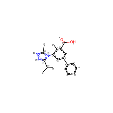 Cc1c(C(=O)O)cc(-c2ccccc2)cc1-n1c(C)nnc1C(C)C